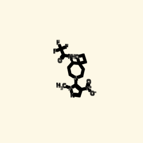 Cn1ncc([N+](=O)[O-])c1N1CC[C@@H](NC(=O)C(F)(F)F)C2(CCO2)CC1